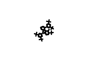 Cc1c(C(C)(C)C)ccc2c1c1c(-c3cc(C(C)(C)C)cc(C(C)(C)C)c3)cccc1n2-c1cc(C(C)(C)C)cc(C(C)(C)C)c1